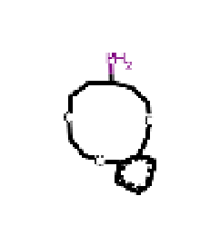 PC1CCCCCCc2ccccc2CCCC1